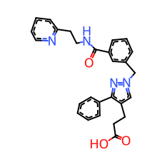 O=C(O)CCc1cn(Cc2cccc(C(=O)NCCc3ccccn3)c2)nc1-c1ccccc1